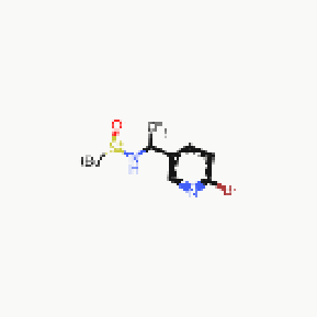 CC(C)(C)[S@+]([O-])NC(c1ccc(Br)nc1)C(F)(F)F